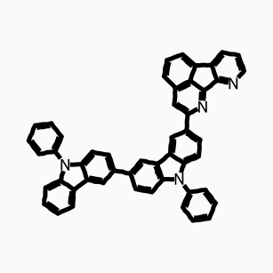 c1ccc(-n2c3ccccc3c3cc(-c4ccc5c(c4)c4cc(-c6cc7cccc8c7c(n6)-c6ncccc6-8)ccc4n5-c4ccccc4)ccc32)cc1